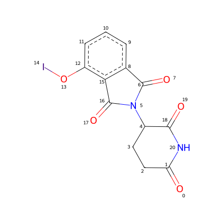 O=C1CCC(N2C(=O)c3cccc(OI)c3C2=O)C(=O)N1